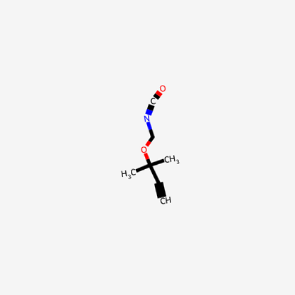 C#CC(C)(C)OCN=C=O